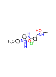 CC#CC(O)NCc1ccc(Cl)c(C(=O)Nc2cccc(Nc3ccc(C(F)(F)F)cc3)c2C=N)c1